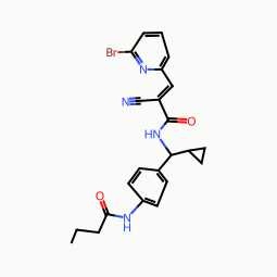 CCCC(=O)Nc1ccc(C(NC(=O)/C(C#N)=C/c2cccc(Br)n2)C2CC2)cc1